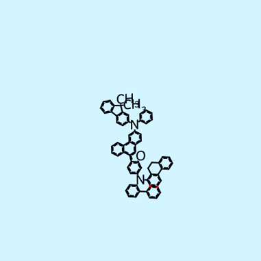 CC1(C)c2ccccc2-c2ccc(N(c3ccccc3)c3ccc4c(c3)c3ccccc3c3c5ccc(N(c6ccccc6-c6ccccc6)c6cccc7c6CCc6ccccc6-7)cc5oc43)cc21